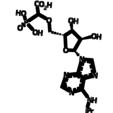 CC(C)Nc1ncnc2c1ncn2[C@@H]1O[C@H](COC(C(=O)O)P(=O)(O)O)[C@@H](O)[C@H]1O